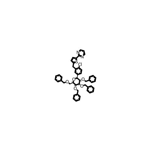 Clc1ccc([C@@H]2O[C@H](COCc3ccccc3)[C@@H](OCc3ccccc3)[C@H](OCc3ccccc3)[C@H]2OCc2ccccc2)cc1Cc1ccc(-c2ncccn2)s1